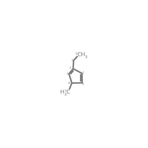 CCC1=C[C](C)C=C1